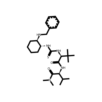 CC(C)[C@H](NC(=O)[C@@H](NC(=S)N[C@@H]1CCCC[C@H]1NCc1ccccc1)C(C)(C)C)C(=O)N(C)C